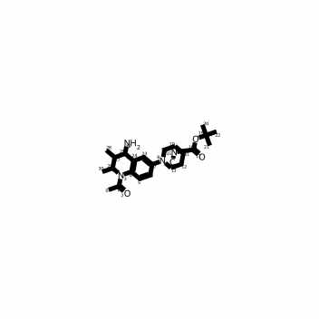 CC(=O)N1c2ccc(N3CC4CCC3CN4C(=O)OC(C)(C)C)cc2C(N)C(C)C1C